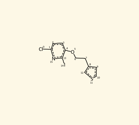 Clc1ccc(OCCc2ccsc2)c(I)n1